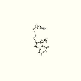 O=C([O-])CCCc1cc2ccccc2[nH]1.[K+]